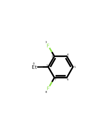 CCc1c(F)[c]ccc1F